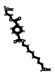 CCCCCCCCCCCCCCCCCCOC(=O)c1ccc(C(=O)OCCCCCCCCCCCC)cc1